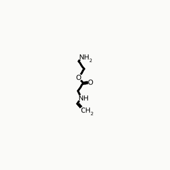 C=CNCC(=O)OCCN